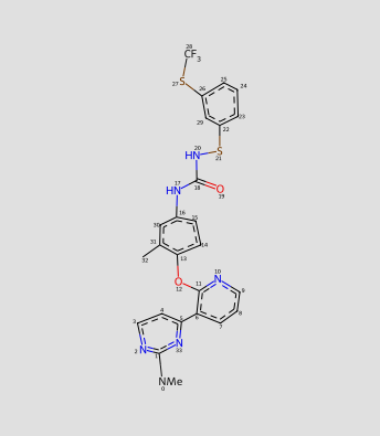 CNc1nccc(-c2cccnc2Oc2ccc(NC(=O)NSc3cccc(SC(F)(F)F)c3)cc2C)n1